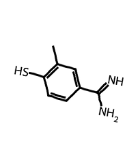 Cc1cc(C(=N)N)ccc1S